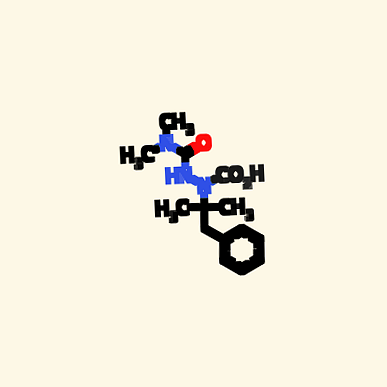 CN(C)C(=O)NN(C(=O)O)C(C)(C)Cc1ccccc1